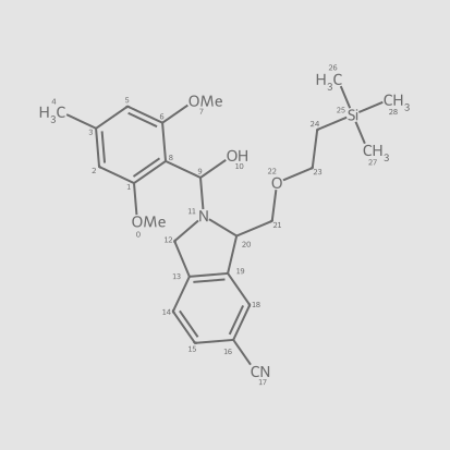 COc1cc(C)cc(OC)c1C(O)N1Cc2ccc(C#N)cc2C1COCC[Si](C)(C)C